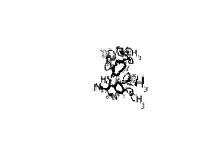 COc1cc2ncc(C#N)c(Nc3ccc(S(C)(=O)=O)c4c3OCO4)c2cc1OC